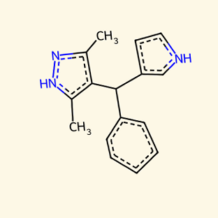 Cc1n[nH]c(C)c1C(c1ccccc1)c1cc[nH]c1